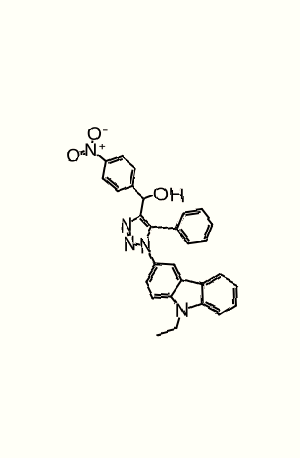 CCn1c2ccccc2c2cc(-n3nnc(C(O)c4ccc([N+](=O)[O-])cc4)c3-c3ccccc3)ccc21